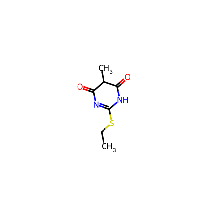 CCSC1=NC(=O)C(C)C(=O)N1